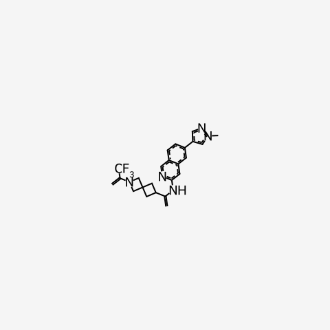 C=C(Nc1cc2cc(-c3cnn(C)c3)ccc2cn1)C1CC2(C1)CN(C(=C)C(F)(F)F)C2